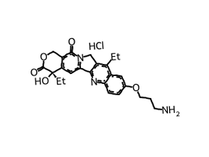 CCc1c2c(nc3ccc(OCCCN)cc13)-c1cc3c(c(=O)n1C2)COC(=O)[C@]3(O)CC.Cl